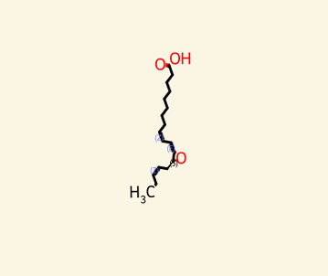 CC/C=C\C[C@@H]1O/C1=C/C=C\CCCCCCCC(=O)O